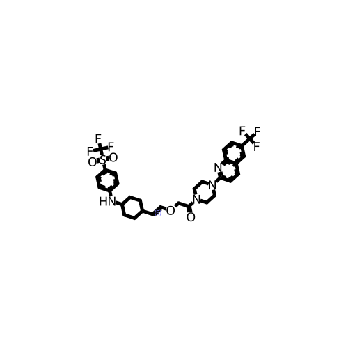 O=C(CO/C=C/C1CCC(Nc2ccc(S(=O)(=O)C(F)(F)F)cc2)CC1)N1CCN(c2ccc3cc(C(F)(F)F)ccc3n2)CC1